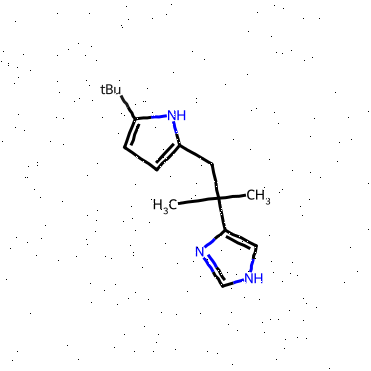 CC(C)(C)c1ccc(CC(C)(C)c2c[nH]cn2)[nH]1